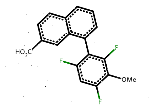 COc1c(F)cc(F)c(-c2cccc3ccc(C(=O)O)cc23)c1F